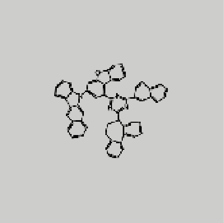 c1ccc2c(c1)CCC(c1nc(-c3ccc4ccccc4c3)nc(-c3cc(-n4c5ccccc5c5cc6ccccc6cc54)cc4oc5ccccc5c34)n1)c1ccccc1-2